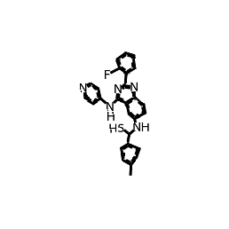 Cc1ccc(C(S)Nc2ccc3nc(-c4ccccc4F)nc(Nc4ccncc4)c3c2)cc1